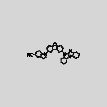 N#Cc1ccc2c(ccn2-c2ccc3oc4ccc(-n5c6ccccc6n6c7ccccc7nc56)cc4c3c2)c1